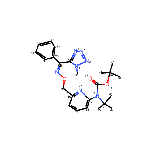 Cn1nnnc1C(=NOCc1cccc(N(C(=O)OC(C)(C)C)C(C)(C)C)n1)c1ccccc1